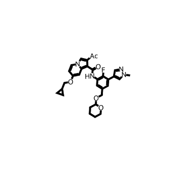 CC(=O)c1cn2ccc(OCC3CC3)cc2c1C(=O)Nc1cc(COC2CCCCO2)cc(-c2cnn(C)c2)c1F